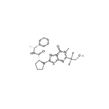 COCC(F)(F)c1nc2sc(N3CCC[C@@H]3C(=O)N[C@H](C)c3ccccc3)nc2c(=O)n1C